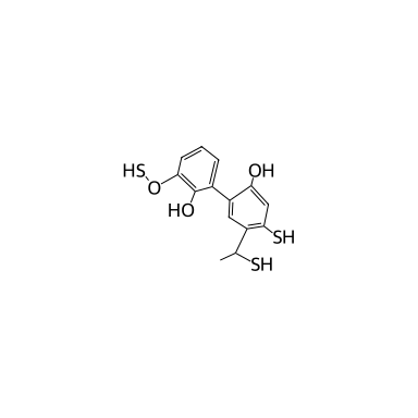 CC(S)c1cc(-c2cccc(OS)c2O)c(O)cc1S